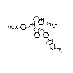 O=C(O)Oc1ccc2c(n1)CCCC2N(CCc1ccc(C(=O)O)cc1)CCc1ccccc1OCc1ccc(-c2nc3cc(C(F)(F)F)ccc3o2)cc1